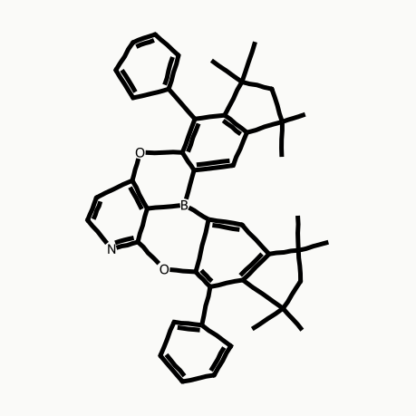 CC1(C)CC(C)(C)c2c1cc1c(c2-c2ccccc2)Oc2ccnc3c2B1c1cc2c(c(-c4ccccc4)c1O3)C(C)(C)CC2(C)C